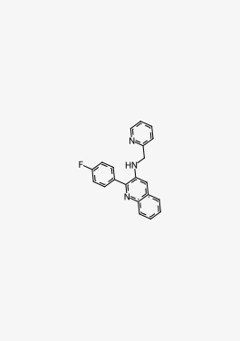 Fc1ccc(-c2nc3ccccc3cc2NCc2ccccn2)cc1